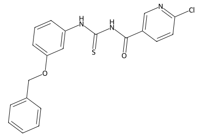 O=C(NC(=S)Nc1cccc(OCc2ccccc2)c1)c1ccc(Cl)nc1